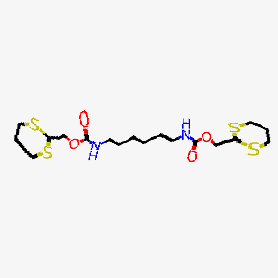 O=C(NCCCCCCNC(=O)OCC1SCCCS1)OCC1SCCCS1